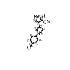 N#Cc1[nH]nnc1-c1ccn(-c2ccc(Cl)cc2)n1